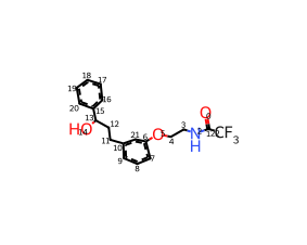 O=C(NCCOc1cccc(CCC(O)c2ccccc2)c1)C(F)(F)F